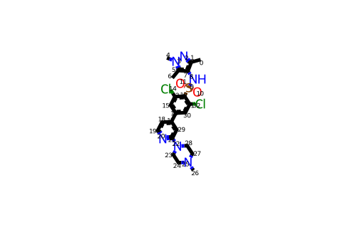 Cc1nn(C)c(C)c1NS(=O)(=O)c1c(Cl)cc(-c2ccnc(N3CCN(C)CC3)c2)cc1Cl